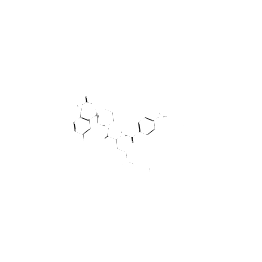 C[S+]([O-])CCC(NC(=O)c1ccc(NC(=O)O)cc1)C(=O)N1CCC[C@@]2(C1)OC(=O)Nc1ccc(Cl)cc12